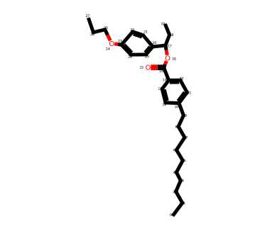 CCCCCCCCCCc1ccc(C(=O)OC(CC)c2ccc(OCCC)cc2)cc1